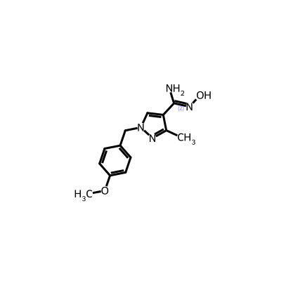 COc1ccc(Cn2cc(/C(N)=N/O)c(C)n2)cc1